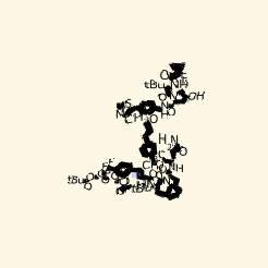 C/C(=C\C(=O)N[C@H]1CCc2cccc3c2N(C1=O)[C@H](C(=O)N[C@@H](CCC(N)=O)[C@@H](C)OCc1ccc(CCCOc2cc(-c4scnc4C)ccc2CNC(=O)[C@@H]2C[C@@H](O)CN2C(=O)[C@@H](NC(=O)C2(F)CC2)C(C)(C)C)cc1)C3)c1ccc(C(F)(F)P(=O)(OCOC(=O)C(C)(C)C)OCOC(=O)C(C)(C)C)cc1